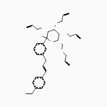 C=CCOC[C@H]1SC(O)(c2cccc(CC=Cc3ccc(CC)cc3)c2)[C@H](OCC=C)[C@@H](OCC=C)[C@@H]1OCC=C